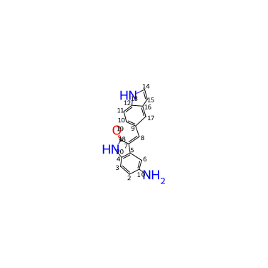 Nc1ccc2c(c1)C(=Cc1ccc3[nH]ccc3c1)C(=O)N2